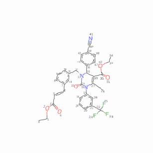 CCOC(=O)C=Cc1cccc(CN2C(=O)N(c3cccc(C(F)(F)F)c3)C(C)=C(C(=O)OCC)C2c2ccc(C#N)cc2)c1